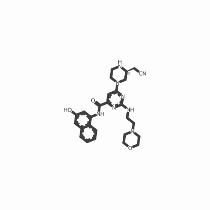 N#CC[C@H]1CN(c2cc(C(=O)Nc3cc(O)cc4ccccc34)nc(NCCN3CCOCC3)n2)CCN1